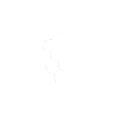 CCc1ccc(-c2nnc(C)o2)cc1OC